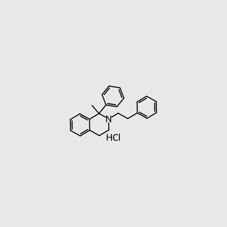 CC1(c2ccccc2)c2ccccc2CCN1CCc1ccccc1.Cl